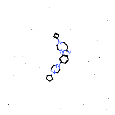 C1=CC(N2CCc3nc4ccc(N5CCN(C6CCCC6)CC5)cc4n3CC2)=C1